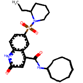 CCC1CCCCN1S(=O)(=O)c1ccc2[nH]c(=O)cc(C(=O)NC3CCCCCCC3)c2c1